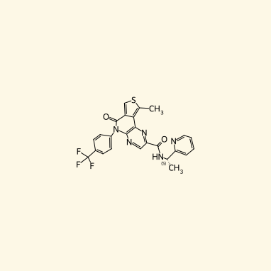 Cc1scc2c(=O)n(-c3ccc(C(F)(F)F)cc3)c3ncc(C(=O)N[C@@H](C)c4ccccn4)nc3c12